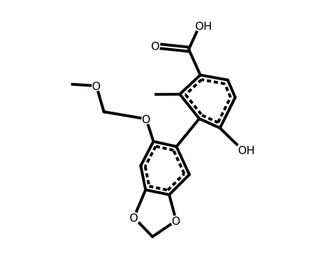 COCOc1cc2c(cc1-c1c(O)ccc(C(=O)O)c1C)OCO2